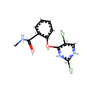 CNC(=O)c1ccccc1Oc1nc(Cl)ncc1Cl